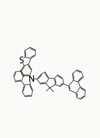 CC1(C)c2cc(-c3cc4ccccc4c4ccccc34)ccc2-c2ccc(N(c3ccc4sc5ccccc5c4c3)c3ccccc3-c3ccccc3)cc21